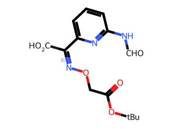 CC(C)(C)OC(=O)CO/N=C(/C(=O)O)c1cccc(NC=O)n1